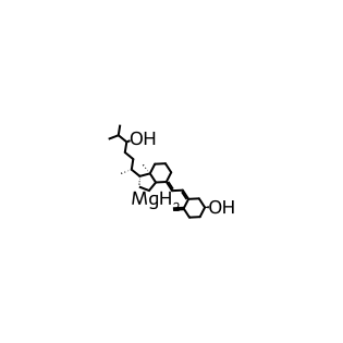 C=C1CC[C@H](O)C/C1=C/C=C1CCC[C@@]2(C)C1CC[C@@H]2[C@H](C)CCC(O)C(C)C.[MgH2]